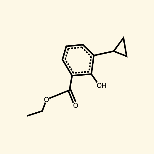 CCOC(=O)c1cccc(C2CC2)c1O